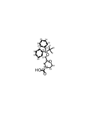 CC(C)(C)[Si](OCC1CN(C(=O)O)CCO1)(c1ccccc1)c1ccccc1